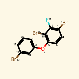 Fc1c(Br)ccc(Oc2cccc(Br)c2)c1Br